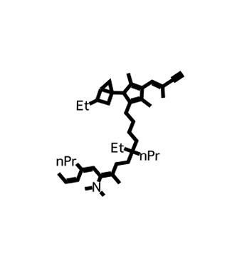 C#C/C(C)=C/C1=C(C)C(C23CC(CC)C2C3)C(CCCCC(CC)(CCC)CC\C(C)=C(/C=C(\C=C/C)CCC)N(C)C)=C1C